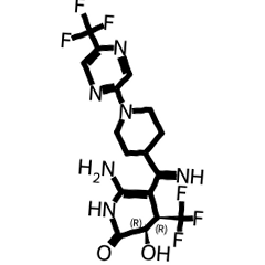 N=C(C1=C(N)NC(=O)[C@H](O)[C@@H]1C(F)(F)F)C1CCN(c2cnc(C(F)(F)F)cn2)CC1